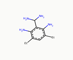 CCc1cc(CC)c(N)c(C(N)N)c1N